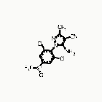 N#Cc1c(C(F)(F)F)nn(-c2c(Cl)cc([S+]([O-])C(F)(F)F)cc2Cl)c1N